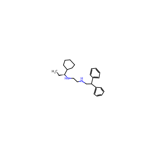 CC[C@H](NCCNCC(c1ccccc1)c1ccccc1)C1CCCCC1